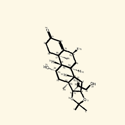 CC1(C)OC2C[C@H]3[C@@H]4C[C@H](F)C5=CC(=O)CC[C@]5(C)[C@H]4[C@@H](O)C[C@]3(C)[C@]2(C(=O)CO)O1